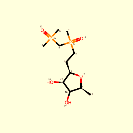 C[C@@H]1O[C@H](CCP(C)(=O)CP(C)(C)=O)[C@H](O)C1O